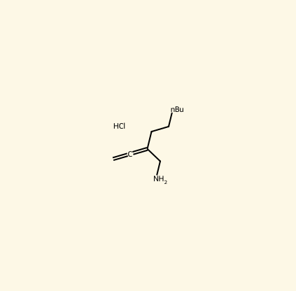 C=C=C(CN)CCCCCC.Cl